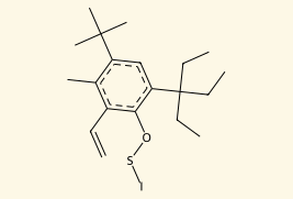 C=Cc1c(C)c(C(C)(C)C)cc(C(CC)(CC)CC)c1OSI